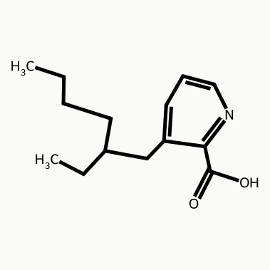 CCCCC(CC)Cc1cccnc1C(=O)O